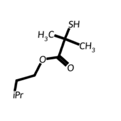 CC(C)CCOC(=O)C(C)(C)S